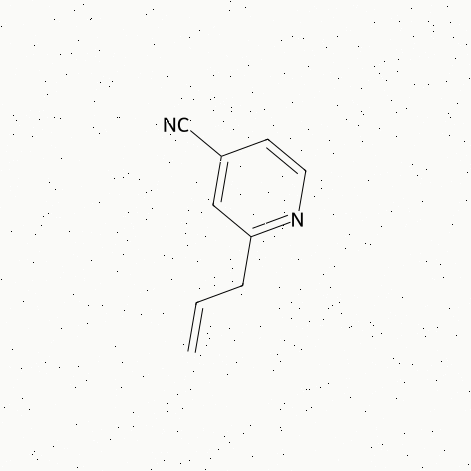 C=CCc1cc(C#N)ccn1